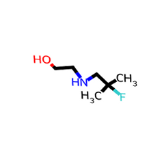 CC(C)(F)CNCCO